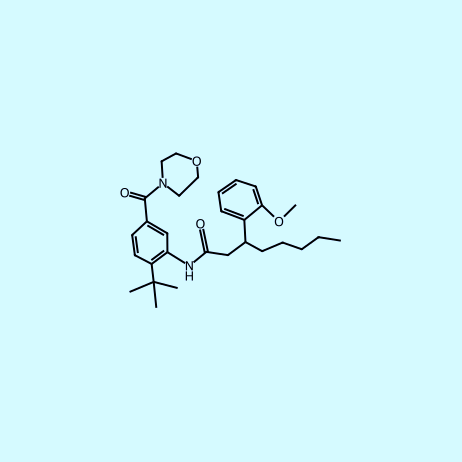 CCCCCC(CC(=O)Nc1cc(C(=O)N2CCOCC2)ccc1C(C)(C)C)c1ccccc1OC